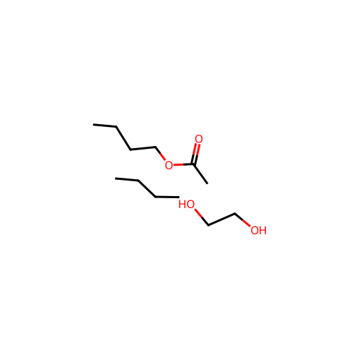 CCCC.CCCCOC(C)=O.OCCO